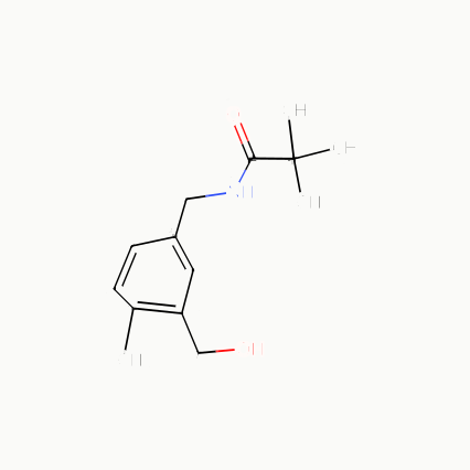 Cc1ccc(CNC(=O)C(C)(C)C)cc1CO